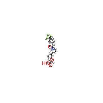 CC(C)(Oc1cccc([C@@H]2CCCN(C(=O)Cc3ccc(C(F)(F)F)cc3)C2)c1)C(=O)O